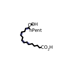 CCCCC/C(=C\C/C=C\C/C=C\C=C\CCCCC(=O)O)OO